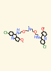 COc1ccc2nc3cc(Cl)ccc3c(NCCOCCN(C)CCOCCNc3c4ccc(Cl)cc4nc4ccc(OC)cc34)c2c1